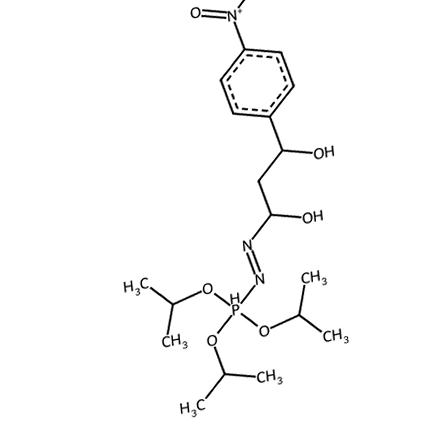 CC(C)O[PH](N=NC(O)CC(O)c1ccc([N+](=O)[O-])cc1)(OC(C)C)OC(C)C